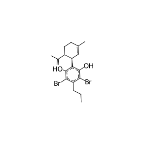 C=C(C)C1CCC(C)=C[C@H]1c1c(O)c(Br)c(CCC)c(Br)c1O